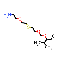 CC[C@H](OCOCCSCCOCCN)C(C)C